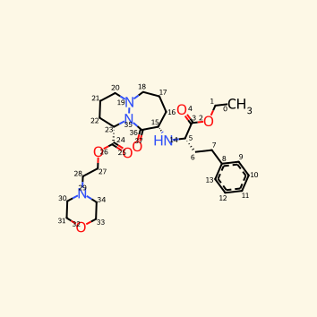 CCOC(=O)[C@H](CCc1ccccc1)N[C@H]1CCCN2CCC[C@@H](C(=O)OCCN3CCOCC3)N2C1=O